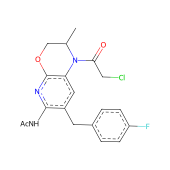 CC(=O)Nc1nc2c(cc1Cc1ccc(F)cc1)N(C(=O)CCl)C(C)CO2